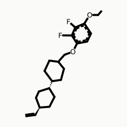 C=C[C@H]1CC[C@H](C2CCC(COc3ccc(OCC)c(F)c3F)CC2)CC1